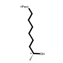 CCCCCCCCCCC[C@@H](C)O